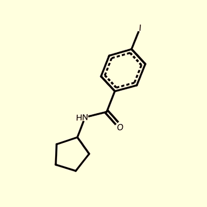 O=C(NC1CCCC1)c1ccc(I)cc1